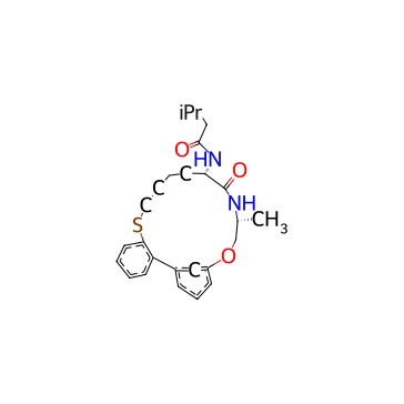 CC(C)CC(=O)N[C@H]1CCCCSc2ccccc2-c2cccc(c2)OC[C@@H](C)NC1=O